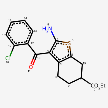 CCOC(=O)C1CCc2c(sc(N)c2C(=O)c2ccccc2Cl)C1